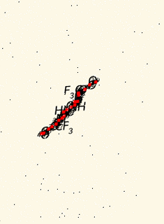 C=CC(=O)OCCCCOc1ccc(/N=N/c2ccc(NC(=O)C(=O)Nc3ccc(/N=N/c4ccc(OCCCCOC(=O)C=C)c(C(F)(F)F)c4)cc3)cc2)cc1C(F)(F)F